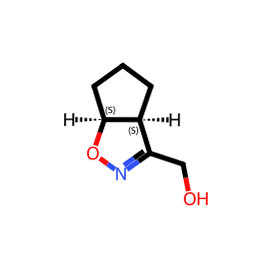 OCC1=NO[C@H]2CCC[C@@H]12